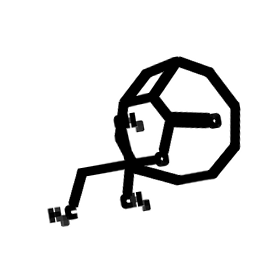 CCC(C)(C)OC(=O)C1C2CCCCCCCC1C2